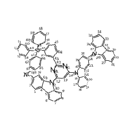 N#Cc1ccc2c3ccccc3n(-c3cc(-n4c5ccccc5c5cc(-n6c7ccccc7c7ccccc76)ccc54)nc(-c4cccc([Si](c5ccccc5)(c5ccccc5)c5ccccc5)c4)n3)c2c1